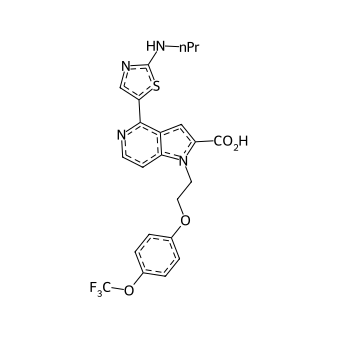 CCCNc1ncc(-c2nccc3c2cc(C(=O)O)n3CCOc2ccc(OC(F)(F)F)cc2)s1